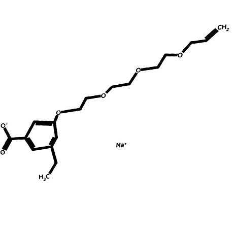 C=CCOCCOCCOCCOc1cc(CC)cc(C(=O)[O-])c1.[Na+]